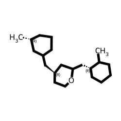 CC1CCCC[C@@H]1CC1C[C@H](CC2CCC[C@@H](C)C2)CCO1